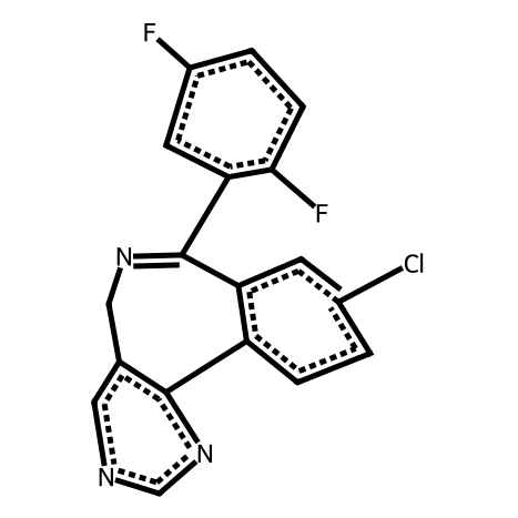 Fc1ccc(F)c(C2=NCc3cncnc3-c3ccc(Cl)cc32)c1